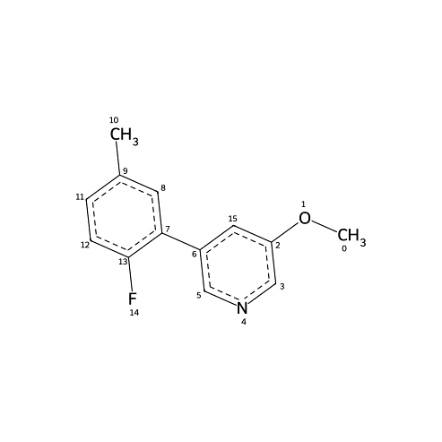 COc1cncc(-c2cc(C)ccc2F)c1